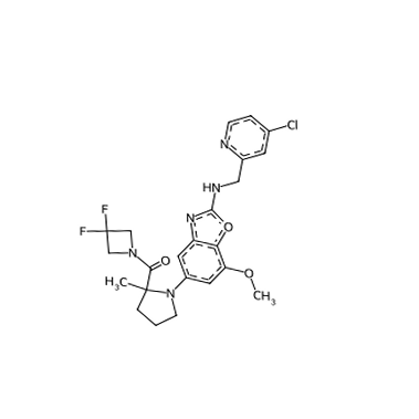 COc1cc(N2CCCC2(C)C(=O)N2CC(F)(F)C2)cc2nc(NCc3cc(Cl)ccn3)oc12